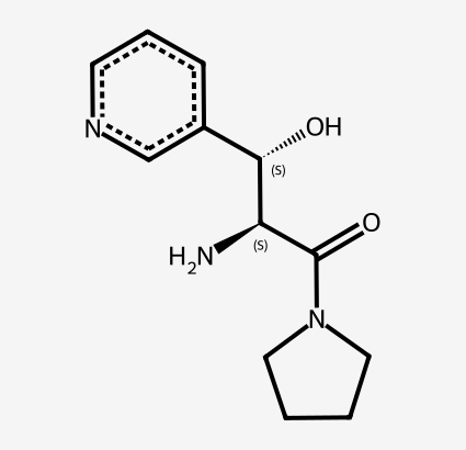 N[C@H](C(=O)N1CCCC1)[C@@H](O)c1cccnc1